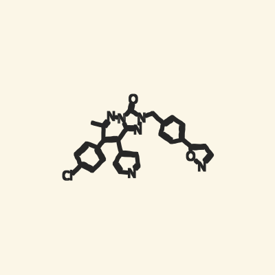 Cc1nn2c(=O)n(Cc3ccc(-c4ccno4)cc3)nc2c(-c2ccncc2)c1-c1ccc(Cl)cc1